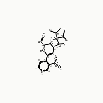 CC(C)[Si](O[C@H]1[C@H](C)C=C(c2ccncc2[N+](=O)[O-])O[C@@H]1C=O)(C(C)C)C(C)C